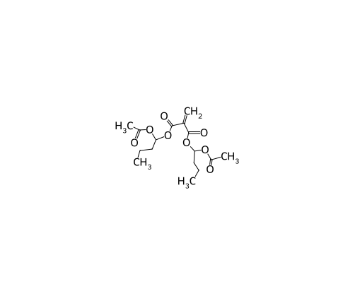 C=C(C(=O)OC(CCC)OC(C)=O)C(=O)OC(CCC)OC(C)=O